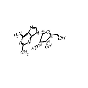 Nc1nc(N)c2ncn([C@@H]3O[C@@H](CO)[C@H](O)[C@@H]3O)c2n1